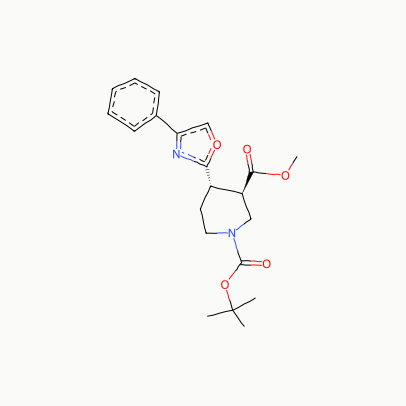 COC(=O)[C@H]1CN(C(=O)OC(C)(C)C)CC[C@@H]1c1nc(-c2ccccc2)co1